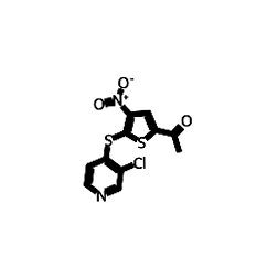 CC(=O)c1cc([N+](=O)[O-])c(Sc2ccncc2Cl)s1